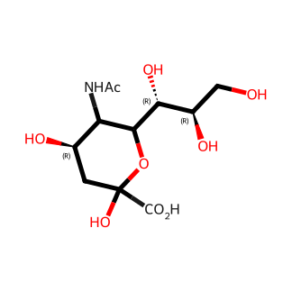 CC(=O)NC1C([C@H](O)[C@H](O)CO)OC(O)(C(=O)O)C[C@H]1O